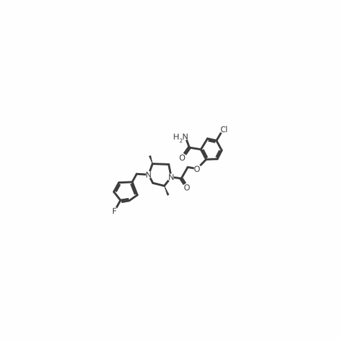 C[C@H]1CN(C(=O)COc2ccc(Cl)cc2C(N)=O)[C@@H](C)CN1Cc1ccc(F)cc1